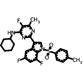 Cc1ccc(S(=O)(=O)n2cc(-c3nc(C)c(F)c(NC4CCCCC4)n3)c3cc(F)cc(F)c32)cc1